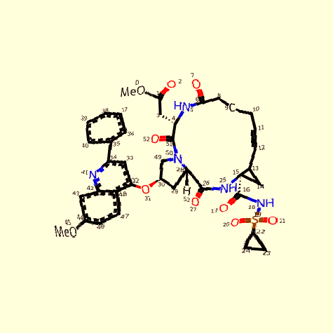 COC(=O)C[C@@H]1NC(=O)CCCC=CC2C[C@@]2(C(=O)NS(=O)(=O)C2CC2)NC(=O)[C@@H]2C[C@@H](Oc3cc(-c4ccccc4)nc4cc(OC)ccc34)CN2C1=O